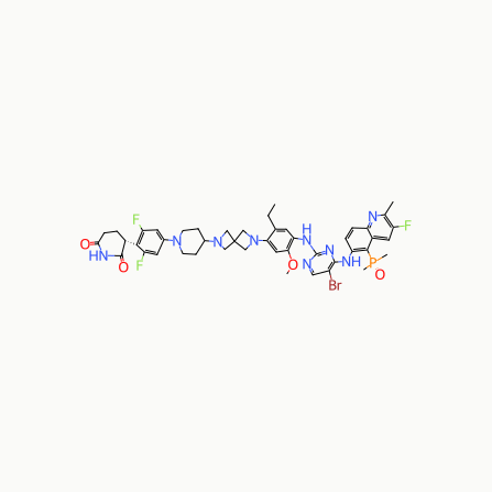 CCc1cc(Nc2ncc(Br)c(Nc3ccc4nc(C)c(F)cc4c3P(C)(C)=O)n2)c(OC)cc1N1CC2(C1)CN(C1CCN(c3cc(F)c([C@H]4CCC(=O)NC4=O)c(F)c3)CC1)C2